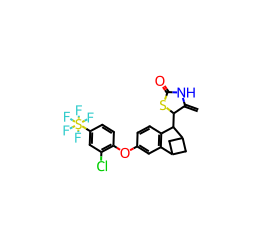 C=C1NC(=O)SC1C1c2ccc(Oc3ccc(S(F)(F)(F)(F)F)cc3Cl)cc2C2CC1C2